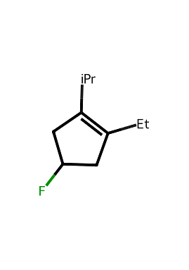 CCC1=C(C(C)C)CC(F)C1